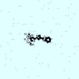 C[C@@](CCn1cc(-c2nc3ccccc3o2)cn1)(C(=O)NO)S(C)(=O)=O